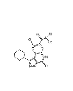 CCN(CC)C(=O)c1cc2[nH]c(=O)c3cnc(C4CCCCC4)n3c2cc1Cl